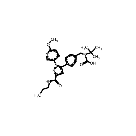 CCCNC(=O)c1cc(-c2ccc(CN(C(=O)O)C(C)(C)C)cc2)n(-c2ccc(OC)nc2)n1